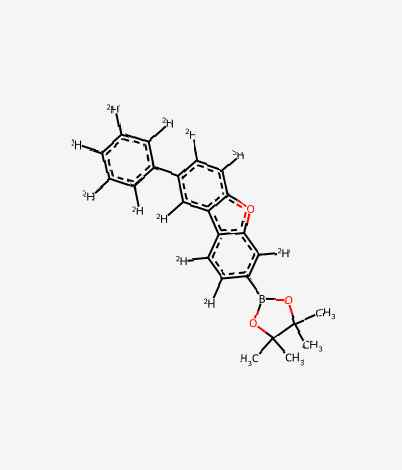 [2H]c1c([2H])c([2H])c(-c2c([2H])c([2H])c3oc4c([2H])c(B5OC(C)(C)C(C)(C)O5)c([2H])c([2H])c4c3c2[2H])c([2H])c1[2H]